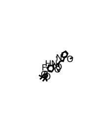 COc1cc(B2OC(C)(C)C(C)(C)O2)c(F)cc1NC(=O)c1cc2c(OC)cccc2n1C